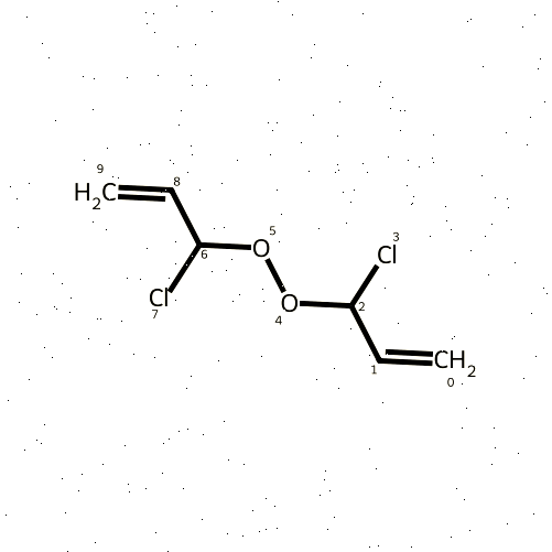 C=CC(Cl)OOC(Cl)C=C